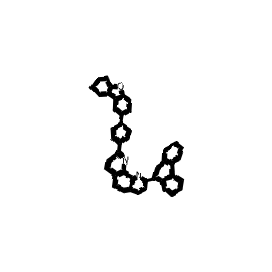 c1ccc2c(c1)cc(-c1ccc3ccc4ccc(-c5ccc(-c6ccc7oc8ccccc8c7c6)cc5)nc4c3n1)c1ccccc12